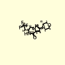 C[C@@H]1COCCN1c1cc2n(n1)C[C@H](CC(F)(F)F)NC2=O